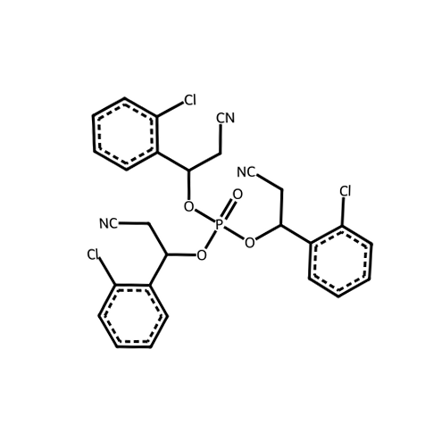 N#CCC(OP(=O)(OC(CC#N)c1ccccc1Cl)OC(CC#N)c1ccccc1Cl)c1ccccc1Cl